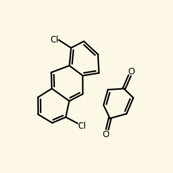 Clc1cccc2cc3c(Cl)cccc3cc12.O=C1C=CC(=O)C=C1